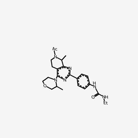 CCNC(=O)Nc1ccc(-c2nc3c(c(N4CCOCC4C)n2)CCN(C(C)=O)C3C)cc1